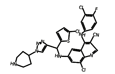 N#Cc1cnc2c(Cl)cc(NC(c3cn(C4CCNCC4)nn3)c3ccc(Cl)s3)cc2c1Nc1ccc(F)c(Cl)c1